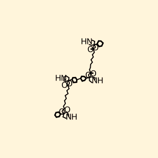 O=C(CCCCCCCCC(=O)OC1(c2ccc(-c3ccc(C4(OC(=O)CCCCCCCCC(=O)OC5(c6ccccc6)CCNCC5)CCNCC4)cc3)cc2)CCNCC1)OC1(c2ccccc2)CCNCC1